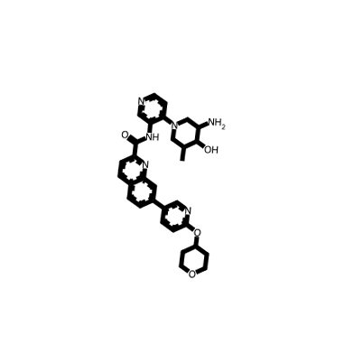 CC1CN(c2ccncc2NC(=O)c2ccc3ccc(-c4ccc(OC5CCOCC5)nc4)cc3n2)CC(N)C1O